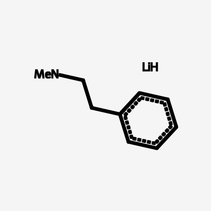 CNCCc1ccccc1.[LiH]